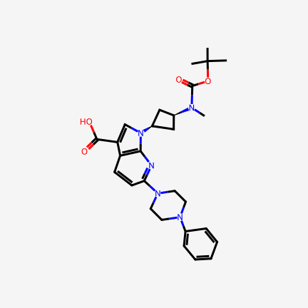 CN(C(=O)OC(C)(C)C)[C@H]1C[C@@H](n2cc(C(=O)O)c3ccc(N4CCN(c5ccccc5)CC4)nc32)C1